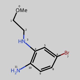 COCCNc1cc(Br)ccc1N